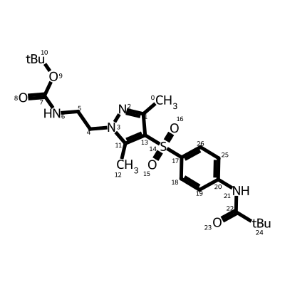 Cc1nn(CCNC(=O)OC(C)(C)C)c(C)c1S(=O)(=O)c1ccc(NC(=O)C(C)(C)C)cc1